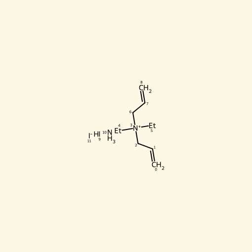 C=CC[N+](CC)(CC)CC=C.I.N.[I-]